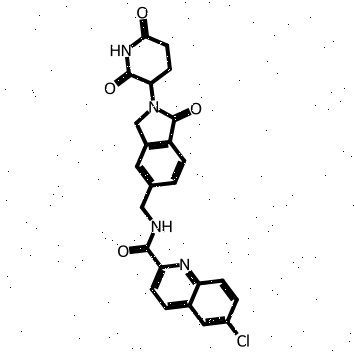 O=C1CCC(N2Cc3cc(CNC(=O)c4ccc5cc(Cl)ccc5n4)ccc3C2=O)C(=O)N1